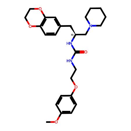 COc1ccc(OCCNC(=O)N[C@@H](Cc2ccc3c(c2)OCCO3)CN2CCCCC2)cc1